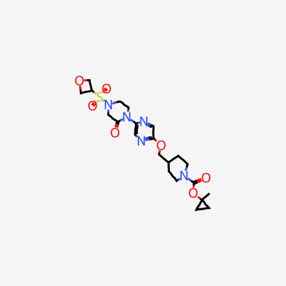 CC1(OC(=O)N2CCC(COc3cnc(N4CCN(S(=O)(=O)C5COC5)CC4=O)cn3)CC2)CC1